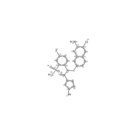 CC(C)n1cc(C(=O)N(Cc2ccc3cc(Cl)c(N)nc3c2)c2ccc(F)cc2S(C)(=O)=O)cn1